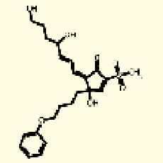 CS(=O)(=O)C1=CC(O)(CCCCOc2ccccc2)C(=C/C=C/C(O)CCCO)C1=O